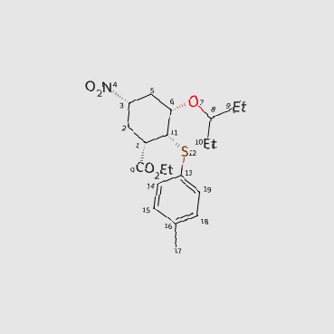 CCOC(=O)[C@@H]1C[C@H]([N+](=O)[O-])C[C@H](OC(CC)CC)[C@@H]1Sc1ccc(C)cc1